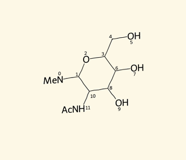 CNC1OC(CO)C(O)C(O)C1NC(C)=O